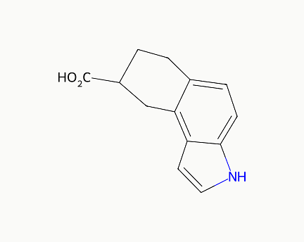 O=C(O)C1CCc2ccc3[nH]ccc3c2C1